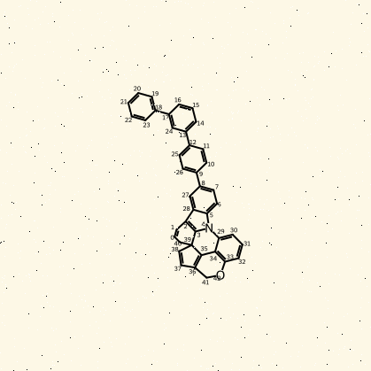 C1=Cc2c3n(c4ccc(-c5ccc(-c6cccc(-c7ccccc7)c6)cc5)cc24)-c2cccc4c2C2=C(C=CC23C1)CO4